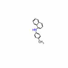 Cc1ccc(Nc2cccc3ccccc23)cc1